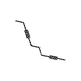 CC#CC[CH]CC#CCC